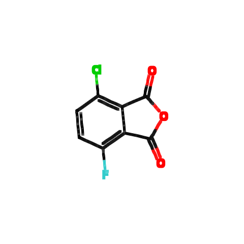 O=C1OC(=O)c2c(Cl)ccc(F)c21